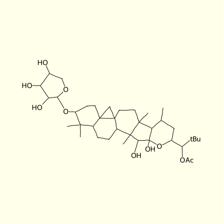 CC(=O)OC(C1CC(C)C2C(O)(O1)C(O)C1(C)C3CCC4C(C)(C)C(OC5OCC(O)C(O)C5O)CCC45CC35CCC21C)C(C)(C)C